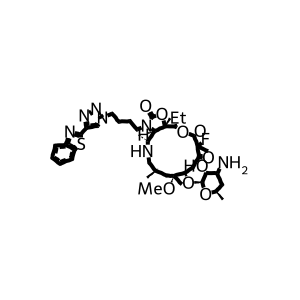 CC[C@H]1OC(=O)C(C)(F)C(=O)C[C@@H](O[C@@H]2O[C@H](C)CC(N)C2O)[C@](C)(OC)C[C@@H](C)CN[C@H](C)[C@H]2N(CCCCn3cc(-c4nc5ccccc5s4)nn3)C(=O)O[C@]12C